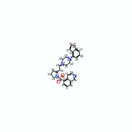 O=S(=O)(c1cccc2cnccc12)N1CCC[C@H]1CCN1CCN(c2cccc3sccc23)CC1